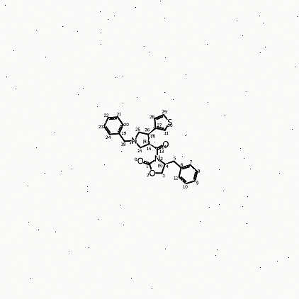 O=C1OC[C@H](Cc2ccccc2)N1C(=O)[C@H]1CN(Cc2ccccc2)C[C@H]1c1ccsc1